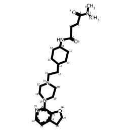 CN(C)C(=O)CCC(=O)NC1CCC(CCN2CCN(c3nccc4c3OCC4)CC2)CC1